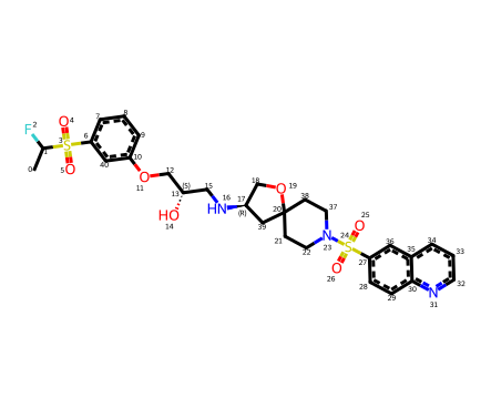 CC(F)S(=O)(=O)c1cccc(OC[C@@H](O)CN[C@H]2COC3(CCN(S(=O)(=O)c4ccc5ncccc5c4)CC3)C2)c1